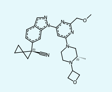 COCc1nc(N2CCN(C3COC3)[C@@H](C)C2)cc(-n2ncc3ccc([C@]4(C#N)CC45CC5)cc32)n1